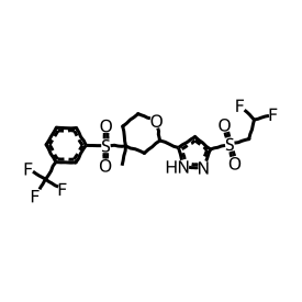 CC1(S(=O)(=O)c2cccc(C(F)(F)F)c2)CCOC(c2cc(S(=O)(=O)CC(F)F)n[nH]2)C1